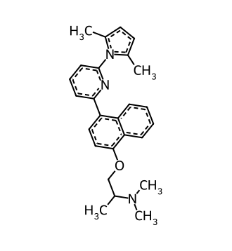 Cc1ccc(C)n1-c1cccc(-c2ccc(OCC(C)N(C)C)c3ccccc23)n1